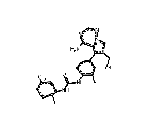 N#CCc1cn2ncnc(N)c2c1-c1ccc(NC(=O)Nc2cc(C(F)(F)F)ccc2I)c(F)c1